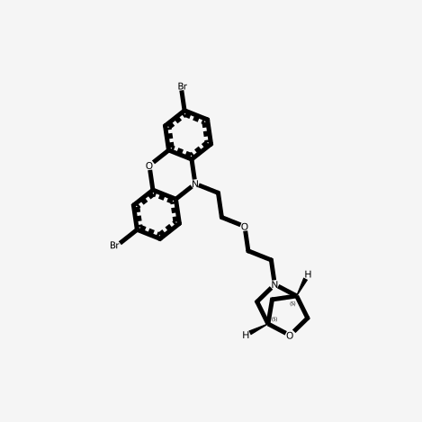 Brc1ccc2c(c1)Oc1cc(Br)ccc1N2CCOCCN1C[C@@H]2C[C@H]1CO2